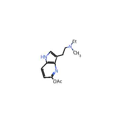 CCN(C)CCc1c[nH]c2ccc(OC(C)=O)nc12